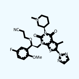 COc1ccc(F)cc1[C@H](Cn1c(=O)n([C@@H]2CCCN(C)C2)c(=O)c2c(C)c(-n3nccn3)sc21)OCCC#N